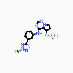 CCOC(=O)c1ccn2ncnc(Nc3cccc(-c4nnn(C(C)C)n4)c3)c12